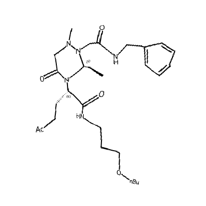 CCCCOCCCNC(=O)[C@H](CCC(C)=O)N1C(=O)CN(C)N(C(=O)NCc2ccccc2)[C@H]1C